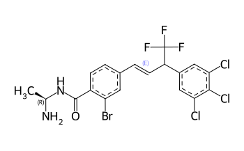 C[C@H](N)NC(=O)c1ccc(/C=C/C(c2cc(Cl)c(Cl)c(Cl)c2)C(F)(F)F)cc1Br